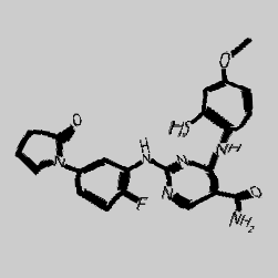 COc1ccc(Nc2nc(Nc3cc(N4CCCC4=O)ccc3F)ncc2C(N)=O)c(S)c1